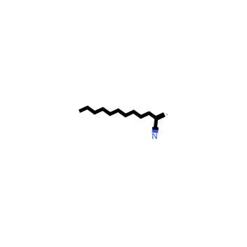 [CH]=C(C#N)CCCCCCCCCC